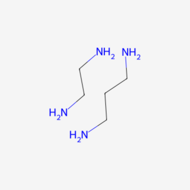 NCCCN.NCCN